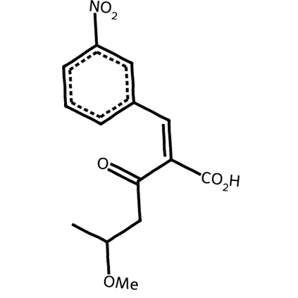 COC(C)CC(=O)C(=Cc1cccc([N+](=O)[O-])c1)C(=O)O